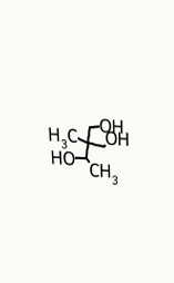 CC(O)C(C)(CO)CO